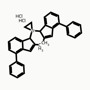 CC1=Cc2c(-c3ccccc3)cccc2[CH]1[Zr]1([CH]2C(C)=Cc3c(-c4ccccc4)cccc32)[CH2][CH2]1.Cl.Cl